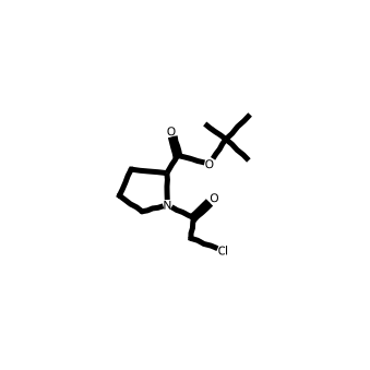 CC(C)(C)OC(=O)C1CCCN1C(=O)CCl